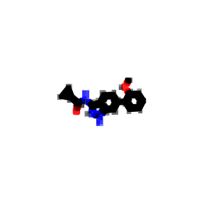 COc1ccccc1-c1ccc2c(NC(=O)C3CC3)n[nH]c2c1